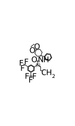 C=CC[C@H](C(=O)NC1(c2ccccc2)CCC2(CC1)OCCO2)c1cc(C(F)(F)F)cc(C(F)(F)F)c1